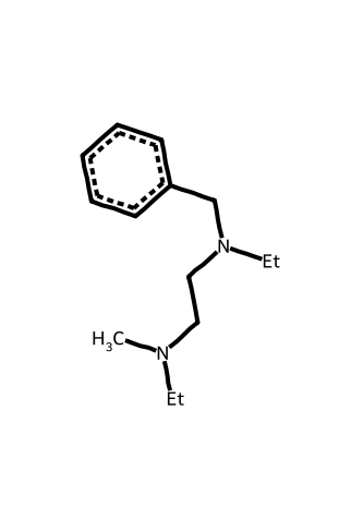 CCN(C)CCN(CC)Cc1ccccc1